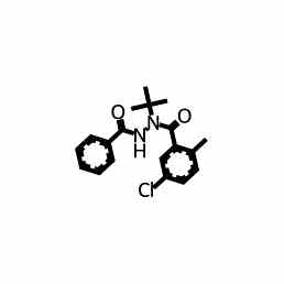 Cc1ccc(Cl)cc1C(=O)N(NC(=O)c1ccccc1)C(C)(C)C